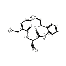 C#CC(Nc1ccccc1CC)C(=O)Nc1ccccc1CCC